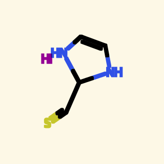 I.S=CC1NC=CN1